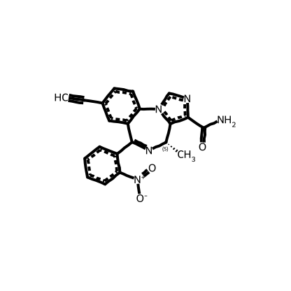 C#Cc1ccc2c(c1)C(c1ccccc1[N+](=O)[O-])=N[C@@H](C)c1c(C(N)=O)ncn1-2